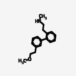 CNCCc1ccccc1-c1cccc(CCOC)c1